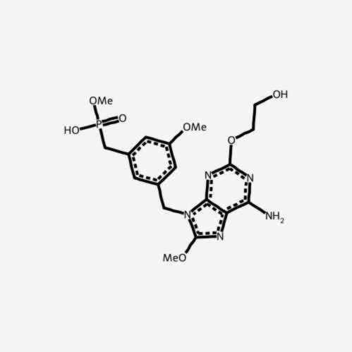 COc1cc(Cn2c(OC)nc3c(N)nc(OCCO)nc32)cc(CP(=O)(O)OC)c1